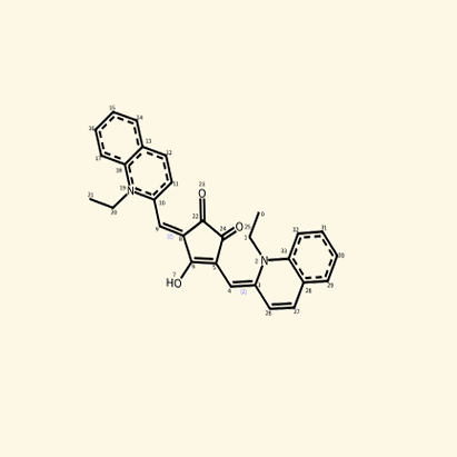 CCN1/C(=C\C2=C(O)C(=C/c3ccc4ccccc4[n+]3CC)/C(=O)C2=O)C=Cc2ccccc21